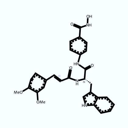 COc1ccc(/C=C/C(=O)N[C@@H](Cc2c[nH]c3ccccc23)C(=O)Nc2ccc(C(=O)NO)cc2)cc1OC